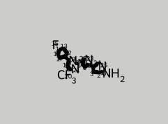 Nc1ccc(-c2cn(-c3nc(-c4ccc(F)cc4)cc(C(F)(F)F)n3)cn2)cn1